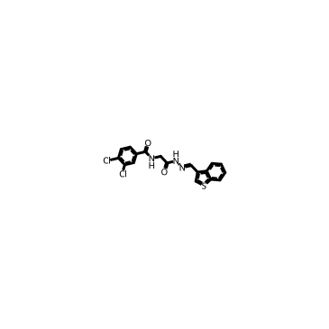 O=C(CNC(=O)c1ccc(Cl)c(Cl)c1)N/N=C/c1csc2ccccc12